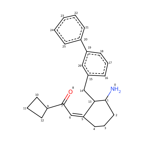 NC1CCC/C(=C/C(=O)C2CCC2)C1Cc1cccc(-c2ccccc2)c1